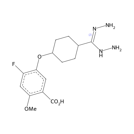 COc1cc(F)c(OC2CCC(/C(=N/N)NN)CC2)cc1C(=O)O